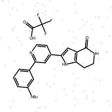 CCCCc1cccc(-c2cc(-c3cc4c([nH]3)CCNC4=O)ccn2)c1.O=C(O)C(F)(F)F